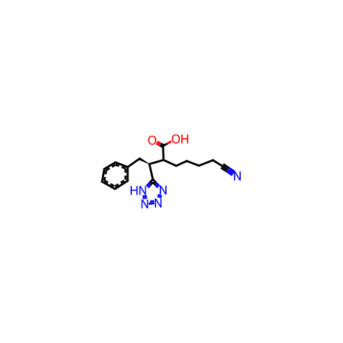 N#CCCCCC(C(=O)O)[C@H](Cc1ccccc1)c1nnn[nH]1